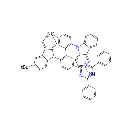 CC(C)(C)c1ccc2c(c1)-c1ccccc1C2c1ccc(-c2nc(-c3ccccc3)nc(-c3ccccc3)n2)cc1-c1cc(C#N)ccc1-n1c2ccccc2c2cc(C(C)(C)C)ccc21